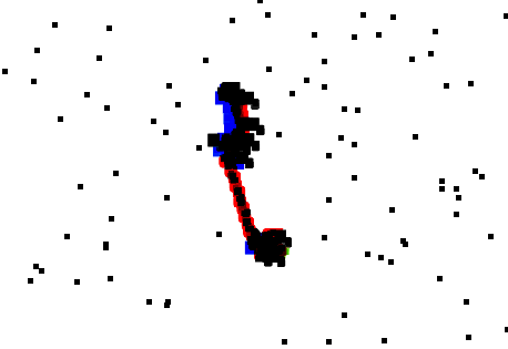 Cc1cc(F)cc(C)c1Oc1ccc(C(C)(C)O)cc1-c1cn(C)c(=O)c2[nH]c(C(=O)Nc3ccc(OCCOCCOCCOCCOCCOCCOCCOCCOCCNC(=O)c4nc(NC(=O)CC(C)(C)NC(=O)c5cc(NC(=O)c6nc(NC(=O)CCNC(=O)c7cc(NC(=O)c8nccn8C)cn7C)cn6C)cn5C)cn4C)cc3)cc12